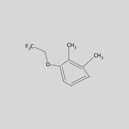 Cc1[c]ccc(OCC(F)(F)F)c1C